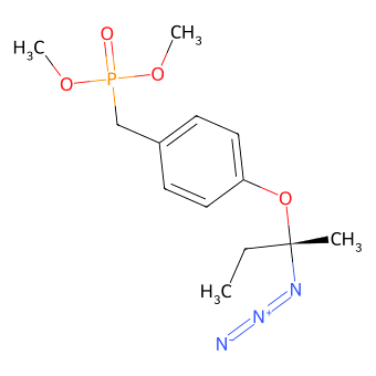 CC[C@@](C)(N=[N+]=[N-])Oc1ccc(CP(=O)(OC)OC)cc1